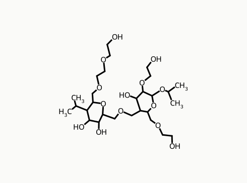 CC(C)OC1OC(COCCO)C(COCC2OC(COCCOCCO)C(C(C)C)C(O)C2O)C(O)C1OCCO